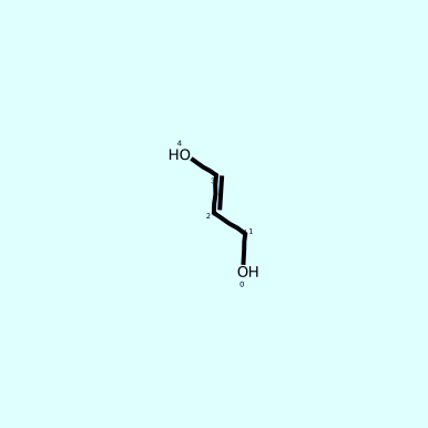 O[CH]/C=C/O